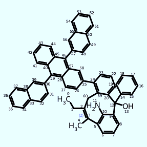 CC/C1=C(\C)c2cccc(c2N)C(O)(c2ccccc2)c2cccc(-c3ccc4c(-c5ccc6ccccc6c5)c5ccccc5c(-c5ccc6ccccc6c5)c4c3)c2C1